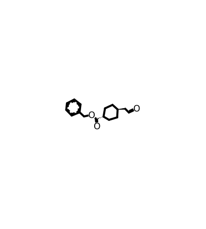 O=CC[C@H]1CC[C@H](C(=O)OCc2ccccc2)CC1